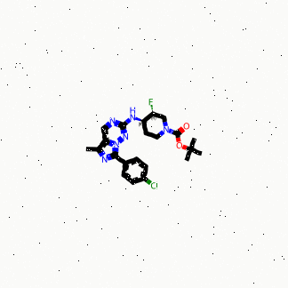 Cc1nc(-c2ccc(Cl)cc2)n2nc(N[C@@H]3CCN(C(=O)OC(C)(C)C)C[C@H]3F)ncc12